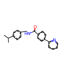 CC(C)c1ccc(CNC(=O)c2ccc(-c3ccccn3)cc2)cc1